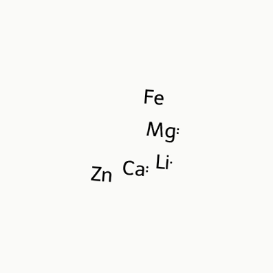 [Ca].[Fe].[Li].[Mg].[Zn]